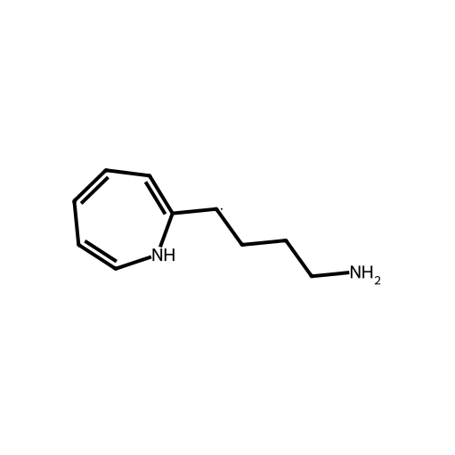 NCCC[CH]C1=CC=CC=CN1